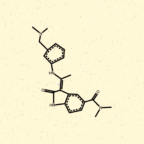 C/C(Nc1cccc(CN(C)C)c1)=C1/C(=O)Nc2ccc(C(=O)N(C)C)cc21